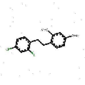 COc1ccc([CH]Cc2ccc(Cl)cc2Cl)c(OC)c1